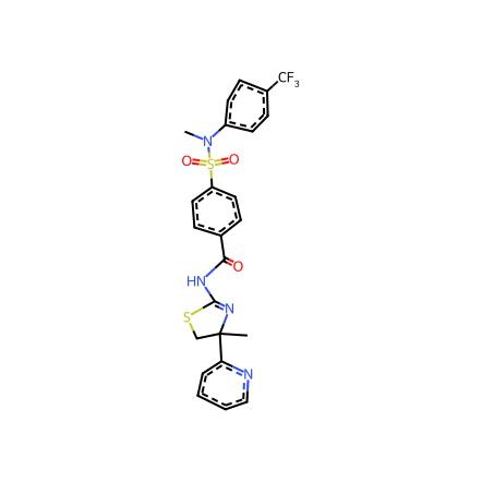 CN(c1ccc(C(F)(F)F)cc1)S(=O)(=O)c1ccc(C(=O)NC2=NC(C)(c3ccccn3)CS2)cc1